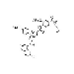 COc1ccc(S(=O)(=O)N(CCNc2cc(C)nc3ccc(Cl)cc23)CCC(=O)Nc2ccc(C(=O)N(C)CCO)cc2OC)cc1